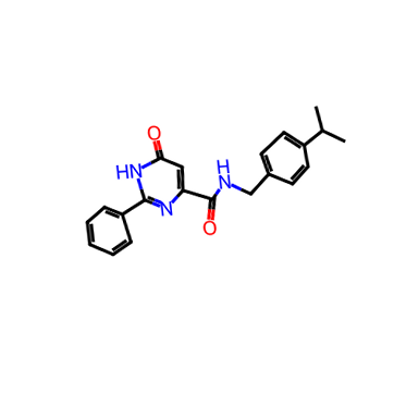 CC(C)c1ccc(CNC(=O)c2cc(=O)[nH]c(-c3ccccc3)n2)cc1